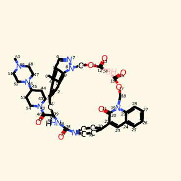 Cc1cc2cc3cnn(c13)COC(=O)BC(=O)OCn1c(=O)c(cc3ccccc31)C1CCN(CC1)C(=O)N[C@@H](C(=O)N1CCC(N3CCN(C)CC3)CC1)C2